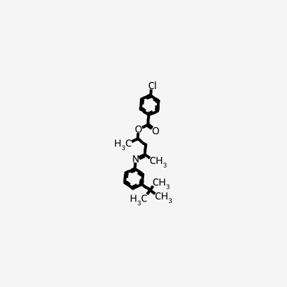 CC(CC(C)OC(=O)c1ccc(Cl)cc1)=Nc1cccc(C(C)(C)C)c1